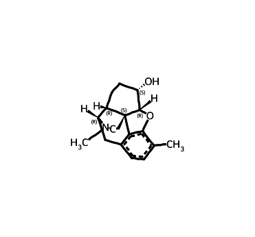 Cc1ccc2c3c1O[C@H]1[C@@H](O)CC[C@H]4[C@@H](C2)N(C)CC[C@@]341